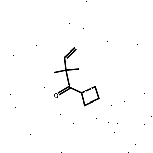 C=CC(C)(C)C(=O)C1CCC1